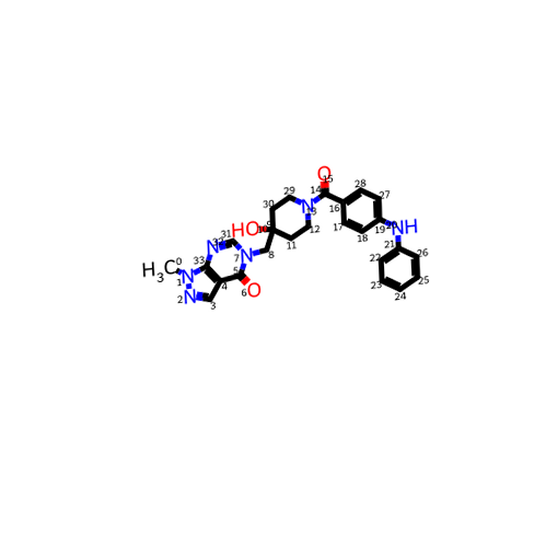 Cn1ncc2c(=O)n(CC3(O)CCN(C(=O)c4ccc(Nc5ccccc5)cc4)CC3)cnc21